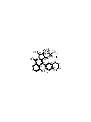 Cc1cccc2c(=O)n3c(c(-c4ccc5c(c4)CCCO5)c12)C(OC(C)(C)C)C(=O)C3O